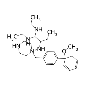 CCNC(NCC)C(CC)N[N+]1(Cc2ccc(C3(OC)C=C[C]=CC3)cc2)CCNCC1